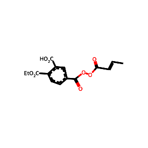 CC=CC(=O)OOC(=O)c1ccc(C(=O)OCC)c(C(=O)O)c1